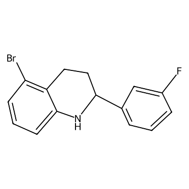 Fc1cccc(C2CCc3c(Br)cccc3N2)c1